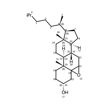 CC(C)CCC[C@@H](C)[C@H]1CC[C@H]2[C@@H]3CC4OC45C[C@H](O)CC[C@]5(C)[C@H]3CC[C@]12C